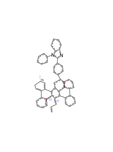 C=C/C=c1/c(-c2ccccc2-c2ccccc2)c2ccc(-c3ccc(-c4nc5ccccc5n4-c4ccccc4)cc3)cc2c(C2=C[C@@H](C)CC=C2c2ccccc2)/c1=C/C